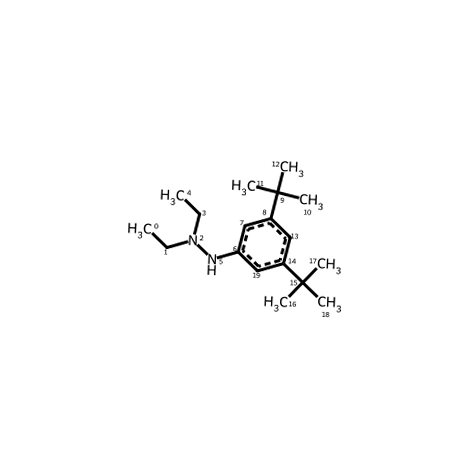 CCN(CC)Nc1cc(C(C)(C)C)cc(C(C)(C)C)c1